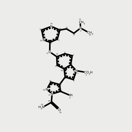 CC(C)c1c(-c2cn(C(=O)O)c3ccc(Oc4cc(CCN(C)C)ncn4)cc23)[c]nn1C(N)=O